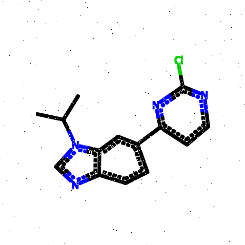 CC(C)n1cnc2ccc(-c3ccnc(Cl)n3)cc21